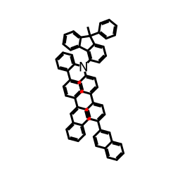 CC1(c2ccccc2)c2ccccc2-c2c(N(c3ccc(-c4ccc(-c5ccc6ccccc6c5)cc4)cc3)c3ccccc3-c3ccc(-c4ccc5ccccc5c4)cc3)cccc21